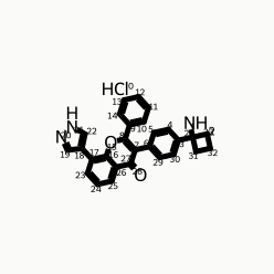 Cl.NC1(c2ccc(-c3c(-c4ccccc4)oc4c(-c5cn[nH]c5)cccc4c3=O)cc2)CCC1